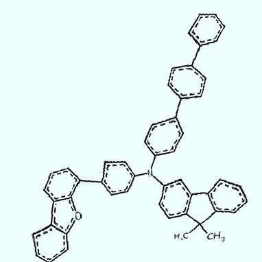 CC1(C)c2ccccc2-c2cc(N(c3ccc(-c4ccc(-c5ccccc5)cc4)cc3)c3ccc(-c4cccc5c4oc4ccccc45)cc3)ccc21